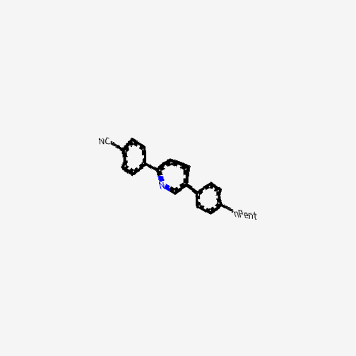 CCCCCc1ccc(-c2ccc(-c3ccc(C#N)cc3)nc2)cc1